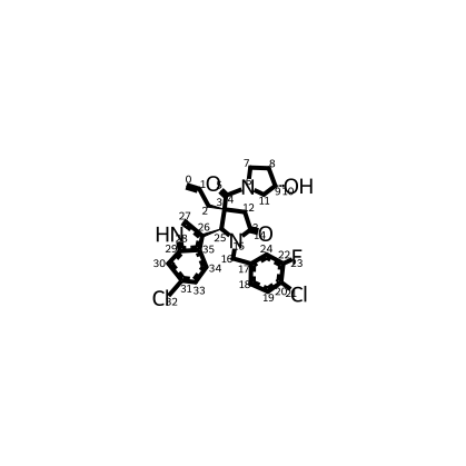 C=CC[C@@]1(C(=O)N2CC[C@H](O)C2)CC(=O)N(Cc2ccc(Cl)c(F)c2)[C@H]1c1c[nH]c2cc(Cl)ccc12